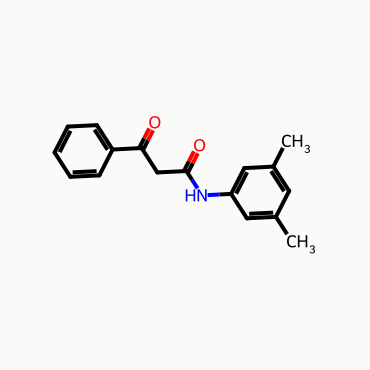 Cc1cc(C)cc(NC(=O)CC(=O)c2ccccc2)c1